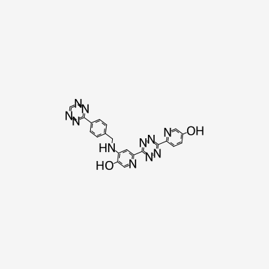 Oc1ccc(-c2nnc(-c3cc(NCc4ccc(-c5nncnn5)cc4)c(O)cn3)nn2)nc1